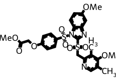 COC(=O)COc1ccc(S(=O)(=O)n2c(S(=O)(=O)Cc3ncc(C)c(OC)c3C)nc3cc(OC)ccc32)cc1